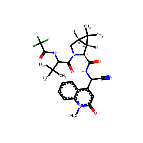 Cn1c(=O)cc(C(C#N)NC(=O)[C@@H]2[C@@H]3[C@H](CN2C(=O)C(NC(=O)C(F)(F)F)C(C)(C)C)C3(C)C)c2ccccc21